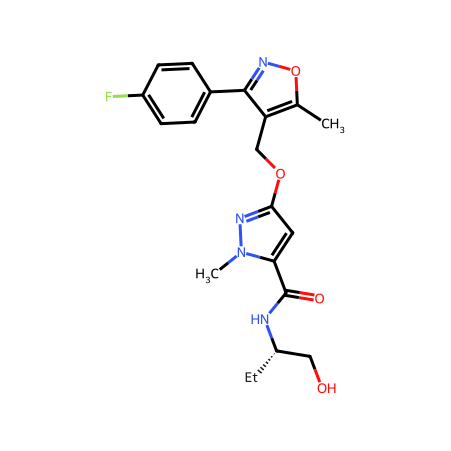 CC[C@@H](CO)NC(=O)c1cc(OCc2c(-c3ccc(F)cc3)noc2C)nn1C